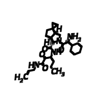 C=CCNC(=O)C(=O)C(CCC)NC(=O)[C@@H]1[C@H]2CCC3(CC3)[C@H]2CN1C(=O)[C@@H](N)C1CCCCC1